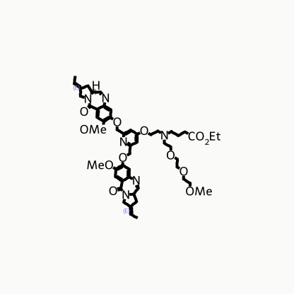 C/C=C1\CC2C=Nc3cc(OCc4cc(OCCN(CCCC(=O)OCC)CCOCCOCCOC)cc(COc5cc6c(cc5OC)C(=O)N5C/C(=C/C)C[C@H]5C=N6)n4)c(OC)cc3C(=O)N2C1